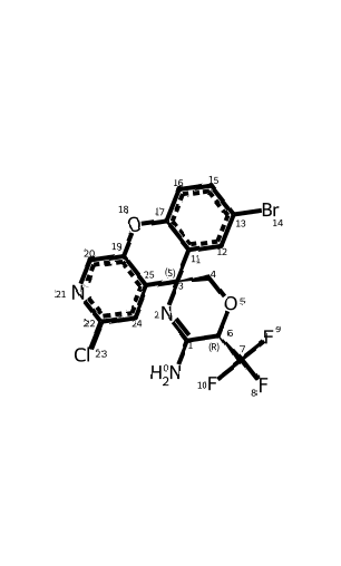 NC1=N[C@@]2(CO[C@H]1C(F)(F)F)c1cc(Br)ccc1Oc1cnc(Cl)cc12